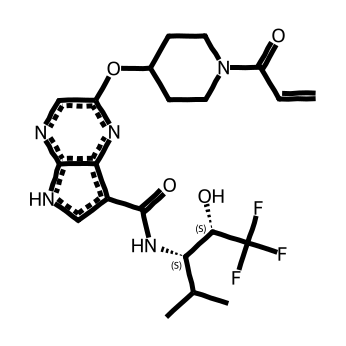 C=CC(=O)N1CCC(Oc2cnc3[nH]cc(C(=O)N[C@@H](C(C)C)[C@H](O)C(F)(F)F)c3n2)CC1